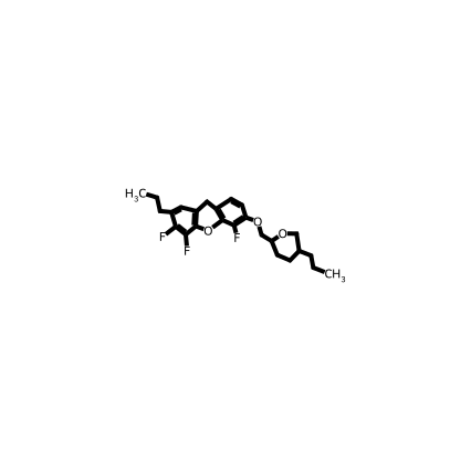 CCCc1cc2c(c(F)c1F)Oc1c(ccc(OCC3CCC(CCC)CO3)c1F)C2